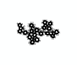 CC1(C)c2ccccc2-c2cccc(-c3ccc(N(c4ccc5c(c4)C(c4ccccc4)(c4ccc(-c6cccc7sc8c(N(c9ccc(-c%10cccc%11c%10C(C)(C)c%10ccccc%10-%11)cc9)c9ccc%10c(c9)C(c9ccccc9)(c9ccccc9)c9ccccc9-%10)cccc8c67)cc4)c4ccccc4-5)c4ccc5sc6ccccc6c5c4)cc3)c21